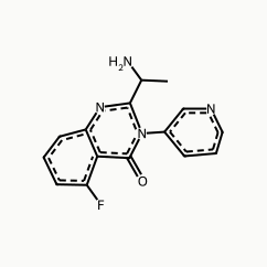 CC(N)c1nc2cccc(F)c2c(=O)n1-c1cccnc1